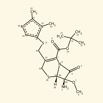 CO[C@@]1(N)C(=O)N2C(C(=O)OC(C)(C)C)=C(CSc3nnc(C)n3C)CS[C@H]21